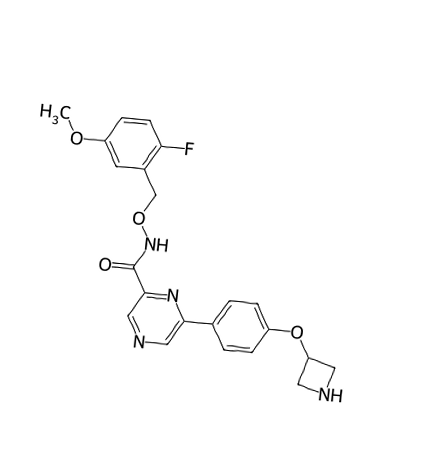 COc1ccc(F)c(CONC(=O)c2cncc(-c3ccc(OC4CNC4)cc3)n2)c1